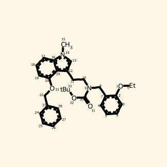 CCOc1ccccc1CN(CCc1cn(C)c2cccc(OCc3ccccc3)c12)C(=O)OC(C)(C)C